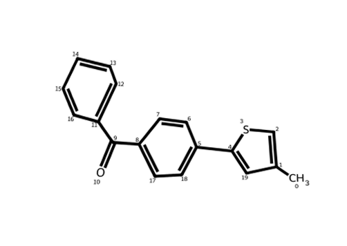 Cc1csc(-c2ccc(C(=O)c3ccccc3)cc2)c1